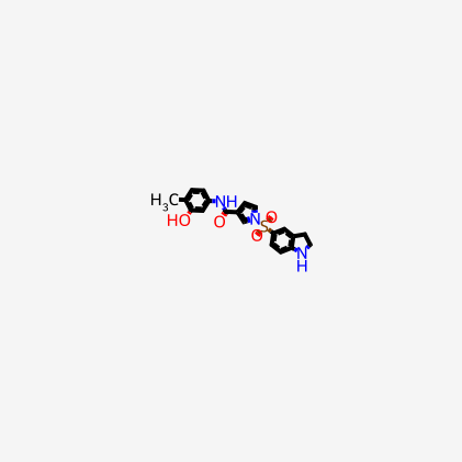 Cc1ccc(NC(=O)c2ccn(S(=O)(=O)c3ccc4c(c3)CCN4)c2)cc1O